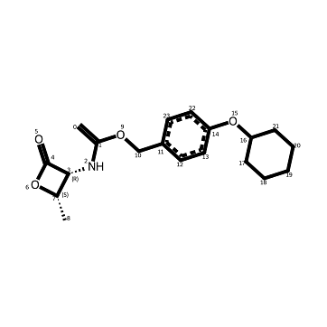 C=C(N[C@H]1C(=O)O[C@H]1C)OCc1ccc(OC2CCCCC2)cc1